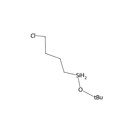 CC(C)(C)O[SiH2]CCCCCl